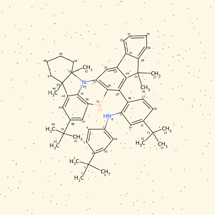 CC(C)(C)c1ccc(Nc2cc(C(C)(C)C)ccc2-c2c3c(cc4c2C(C)(C)c2ccccc2-4)N2c4c(cc(C(C)(C)C)cc4C4(C)CCCCC24C)B3)cc1